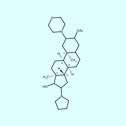 CC(=O)OC1CC2CC[C@@H]3[C@@H](CC[C@]4(C)C(O)C(N5CCCC5)C[C@@H]34)[C@@]2(C)CC1N1CCOCC1